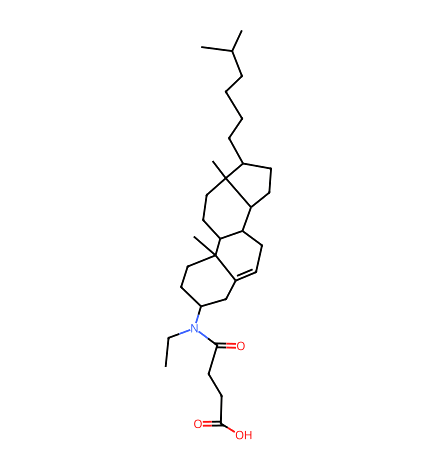 CCN(C(=O)CCC(=O)O)C1CCC2(C)C(=CCC3C2CCC2(C)C(CCCCC(C)C)CCC32)C1